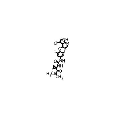 CN(C)C(=O)C1(NC(=O)Nc2cc(F)c(Oc3ccnc4[nH]cc(Cl)c34)c(F)c2)CC1